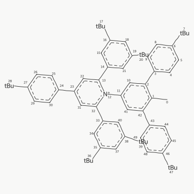 Cc1c(-c2ccc(C(C)(C)C)cc2)cc(-[n+]2c(-c3cc(C(C)(C)C)cc(C(C)(C)C)c3)cc(-c3ccc(C(C)(C)C)cc3)cc2-c2cc(C(C)(C)C)cc(C(C)(C)C)c2)cc1-c1ccc(C(C)(C)C)cc1